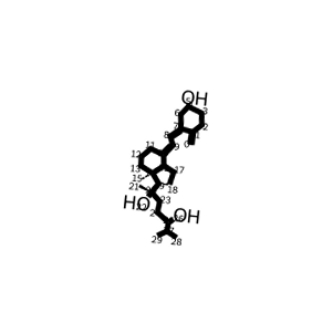 C=C1CC[C@H](O)C/C1=C/C=C1CCC[C@@]2(C)C1CC[C@@H]2[C@@](C)(O)CCC(O)C(C)C